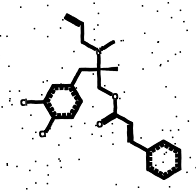 C=CCN(C)[C@](C)(COC(=O)/C=C/c1ccccc1)Cc1ccc(Cl)c(Cl)c1